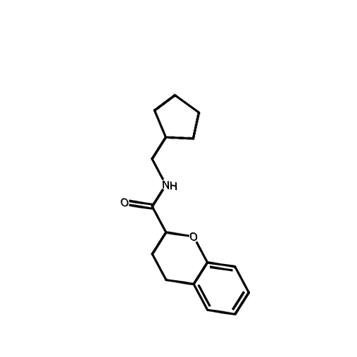 O=C(NCC1CCCC1)C1CCc2ccccc2O1